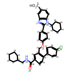 O=C(O)c1ccc2c(c1)nc(-c1ccc(OCc3cc(C(=O)NCC4CCCCC4)ccc3-c3ccc(Cl)cc3)cc1)n2C1CCCCC1